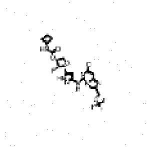 O=C(NC12CC(C1)C2)O[C@H]1CO[C@@H](c2cc(Nc3nc(Cl)cc4nc(COC(F)(F)F)cn34)n[nH]2)[C@H]1F